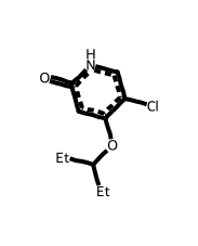 CCC(CC)Oc1cc(=O)[nH]cc1Cl